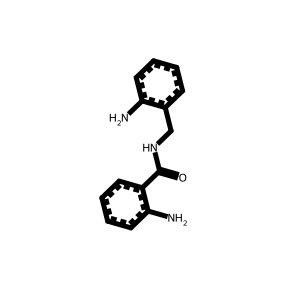 Nc1ccccc1CNC(=O)c1ccccc1N